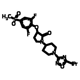 CC(C)c1nc(N2CCC(N3CCC(Oc4c(F)cc(S(C)(=O)=O)cc4F)C3=O)CC2)no1